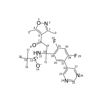 Cc1noc(C)c1C(=O)CC(C)(N[S+]([O-])C(C)(C)C)c1cc(-c2cncnc2)c(F)cc1F